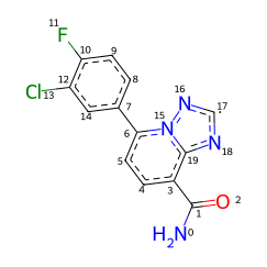 NC(=O)c1ccc(-c2ccc(F)c(Cl)c2)n2n[c]nc12